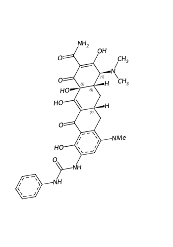 CNc1cc(NC(=O)Nc2ccccc2)c(O)c2c1C[C@H]1C[C@H]3[C@H](N(C)C)C(O)=C(C(N)=O)C(=O)[C@@]3(O)C(O)=C1C2=O